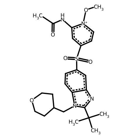 CO[n+]1ccc(S(=O)(=O)c2ccc3c(c2)nc(C(C)(C)C)n3CC2CCOCC2)cc1NC(C)=O